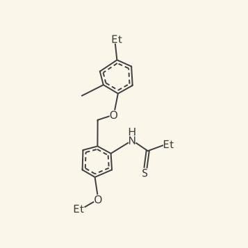 CCOc1ccc(COc2ccc(CC)cc2C)c(NC(=S)CC)c1